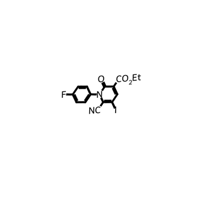 CCOC(=O)c1cc(I)c(C#N)n(-c2ccc(F)cc2)c1=O